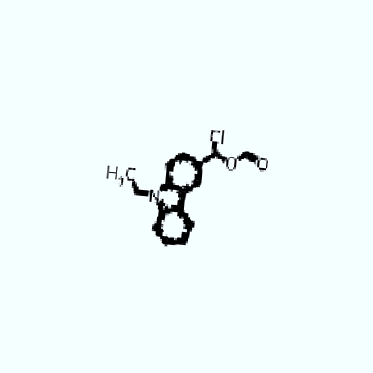 CCn1c2ccccc2c2cc(C(Cl)OC=O)ccc21